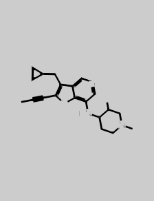 CC#Cc1sc2c(NC3CCN(C)CC3F)cncc2c1CC1CC1